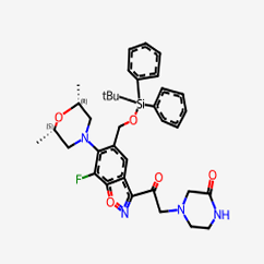 C[C@@H]1CN(c2c(CO[Si](c3ccccc3)(c3ccccc3)C(C)(C)C)cc3c(C(=O)CN4CCNC(=O)C4)noc3c2F)C[C@H](C)O1